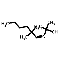 CCCCC(C)(C)/C=N\C(C)(C)C